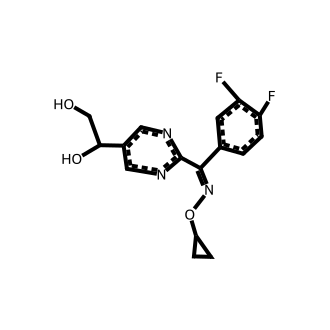 OCC(O)c1cnc(/C(=N\OC2CC2)c2ccc(F)c(F)c2)nc1